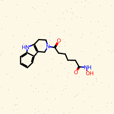 O=C(CCCCC(=O)N1CCc2[nH]c3ccccc3c2C1)NO